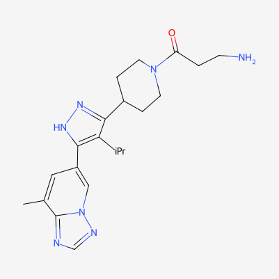 Cc1cc(-c2[nH]nc(C3CCN(C(=O)CCN)CC3)c2C(C)C)cn2ncnc12